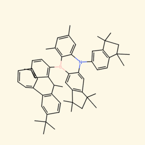 Cc1ccc(B2c3cc4c(cc3N(c3ccc5c(c3)C(C)(C)CC5(C)C)c3cc(C)cc(C)c32)C(C)(C)CC4(C)C)c(C(C)c2ccc(C(C)(C)C)cc2-c2ccccc2)c1